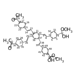 COC(O)c1ccc(/C=C/c2cc(/C=C/c3ccc(C(C)=O)cc3)c(/C=C/C3C=CC(C(C)=O)=CC3)cc2/C=C/c2ccc(C(O)OC)cc2)cc1